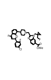 COC(=O)c1ccc2nc(CN3CCC(c4cccc5c4OC(c4ccc(Cl)cc4F)C=C5F)CC3)n(CC3(CF)CC3)c2c1